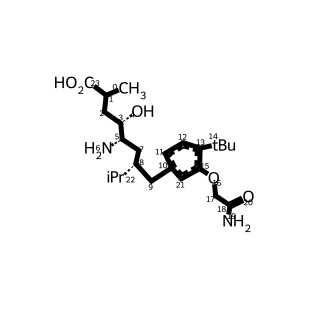 CC(C[C@H](O)[C@@H](N)C[C@H](Cc1ccc(C(C)(C)C)c(OCC(N)=O)c1)C(C)C)C(=O)O